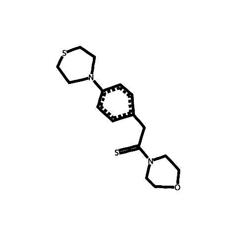 S=C(Cc1ccc(N2CCSCC2)cc1)N1CCOCC1